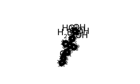 Bc1c(O)c(O)c(O)c(O)c1-c1ccc(-c2c3c(c(-c4ccc5c(c4)oc4cc6ccccc6cc45)c4ccccc24)CCC=C3)cc1